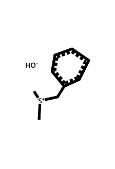 C[S+](C)Cc1ccccc1.[OH-]